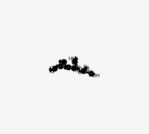 CC(C)c1ccccc1C1CN(Cc2ccc3c(c2)OCCO3)CCN1C1CC2(CCN(c3ccc(C(=O)NS(=O)(=O)c4ccc(NC[C@H]5CC[C@](C)(O)CC5)c([N+](=O)[O-])c4)c(Oc4cnc5[nH]ccc5c4)c3)CC2)C1